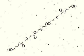 O=C(CCSCCCOOCCSCCOC(=O)CCSCCC(=O)OCCCO)OCCCO